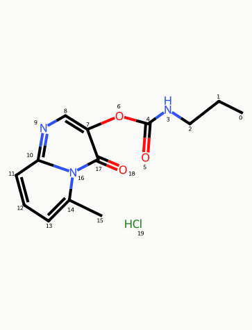 CCCNC(=O)Oc1cnc2cccc(C)n2c1=O.Cl